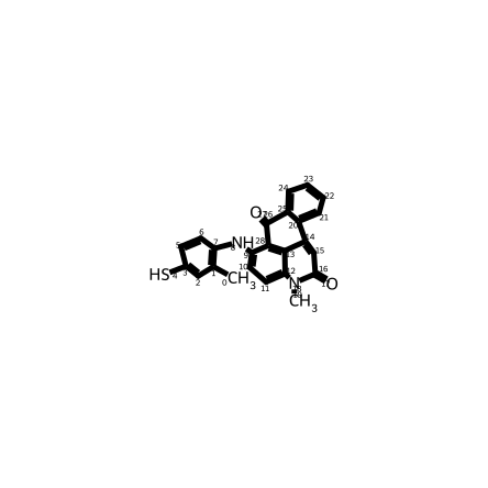 Cc1cc(S)ccc1Nc1ccc2c3c(cc(=O)n2C)-c2ccccc2C(=O)c13